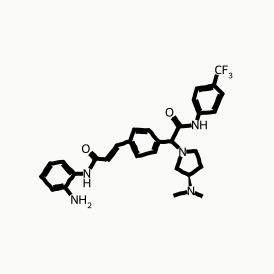 CN(C)[C@@H]1CCN(C(C(=O)Nc2ccc(C(F)(F)F)cc2)c2ccc(/C=C/C(=O)Nc3ccccc3N)cc2)C1